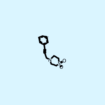 O=S1(=O)CCN(CC#Cc2c[c]ccc2)CC1